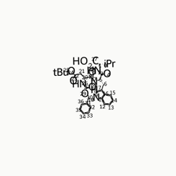 CC(C)[C@H](NC(=O)[C@H](Cc1cn(C)c2ccccc12)NC(=O)[C@H](CC(=O)OC(C)(C)C)NC(=O)OCc1ccccc1)C(=O)O